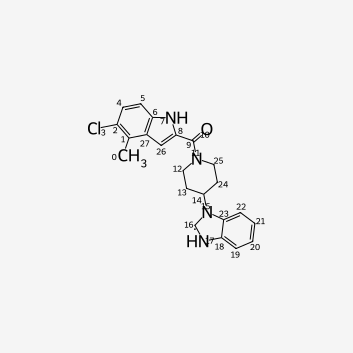 Cc1c(Cl)ccc2[nH]c(C(=O)N3CCC(N4[CH]Nc5ccccc54)CC3)cc12